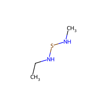 CCNSNC